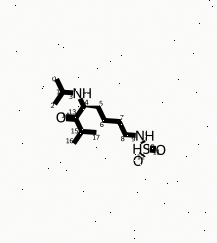 CC(C)N[C@@H](CCCCN[SH](=O)=O)C(=O)C(C)C